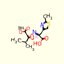 BOC(=O)[C@@H](O/N=C(\C(=O)O)c1csc(C)n1)C(C)C